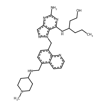 CCCC(CCO)Nc1nc(N)nc2cnn(Cc3ccc(CNC4CCN(C)CC4)c4cccnc34)c12